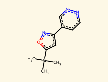 C[Si](C)(C)c1cc(-c2ccnnc2)no1